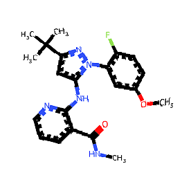 CNC(=O)c1cccnc1Nc1cc(C(C)(C)C)nn1-c1cc(OC)ccc1F